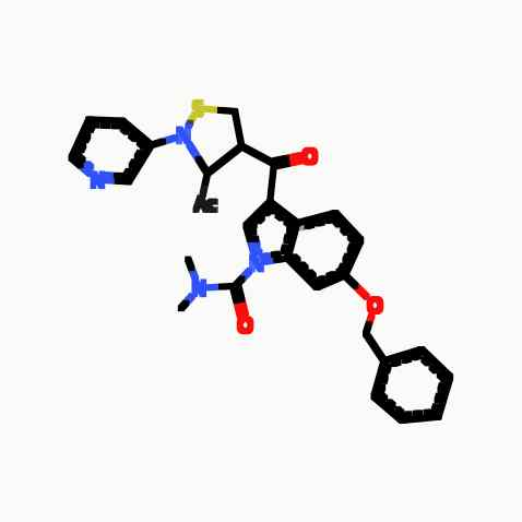 CC(=O)C1C(C(=O)c2cn(C(=O)N(C)C)c3cc(OCc4ccccc4)ccc23)CSN1c1cccnc1